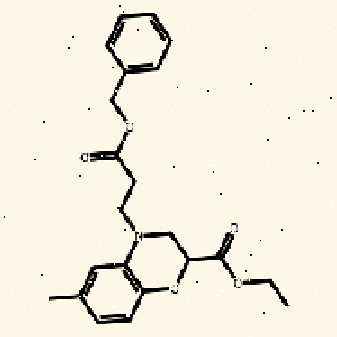 CCOC(=O)C1CN(CCC(=O)OCc2ccccc2)c2cc(C)ccc2O1